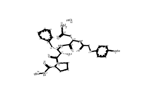 CNc1ccc(OCC(=O)N[C@@H](CC(N)=O)C(=O)N[C@@H](Cc2ccccc2)[C@H](O)C(=O)N2CCC[C@H]2C(=O)NC(C)(C)C)cc1.Cl